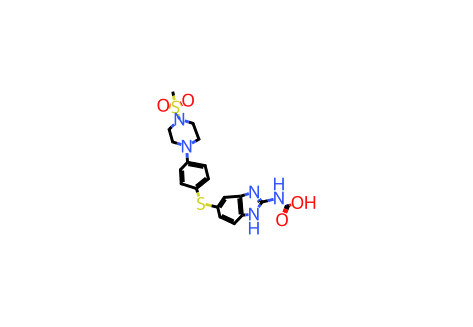 CS(=O)(=O)N1CCN(c2ccc(Sc3ccc4[nH]c(NC(=O)O)nc4c3)cc2)CC1